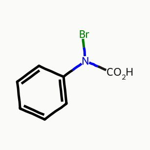 O=C(O)N(Br)c1ccccc1